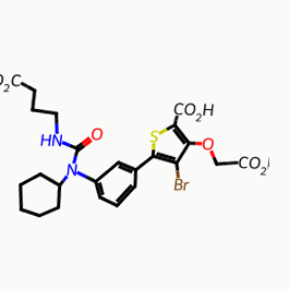 O=C(O)CCCNC(=O)N(c1cccc(-c2sc(C(=O)O)c(OCC(=O)O)c2Br)c1)C1CCCCC1